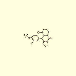 O=C1CCCC2=C1C(c1ccc(OC(F)(F)F)c(I)c1)C1=C(CCS1)N2